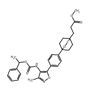 COC(=O)CCC12CCC(c3ccc(-c4onc(C)c4NC(=O)OC(C)c4ccccc4)cc3)(CC1)OC2